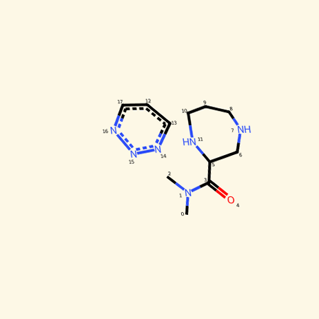 CN(C)C(=O)C1CNCCCN1.c1cnnnc1